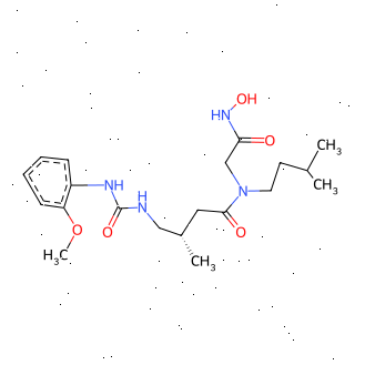 COc1ccccc1NC(=O)NC[C@@H](C)CC(=O)N(CCC(C)C)CC(=O)NO